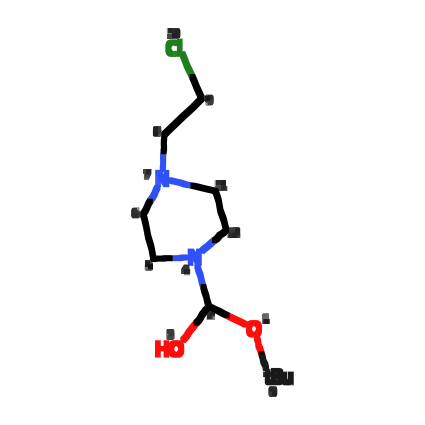 CC(C)(C)OC(O)N1CCN(CCCl)CC1